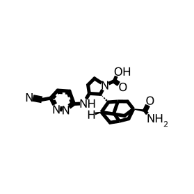 N#Cc1ccc(NC2CCN(C(=O)O)[C@@H]2C2C3CC4C[C@H]2C[C@@](C(N)=O)(C4)C3)nn1